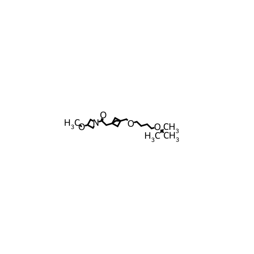 COC1CN(C(=O)CC23CC(COCCCCOC(C)(C)C)(C2)C3)C1